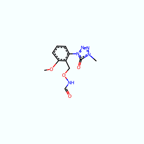 COc1cccc(-n2nnn(C)c2=O)c1CONC=O